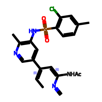 C=N/C(=C\C(=C/C)c1cnc(C)c(NS(=O)(=O)c2ccc(C)cc2Cl)c1)NC(C)=O